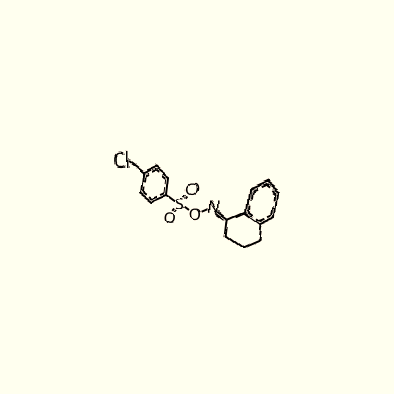 O=S(=O)(O/N=C1\CCCc2ccccc21)c1ccc(Cl)cc1